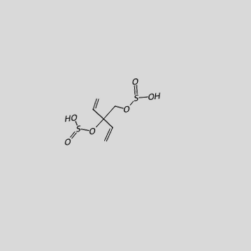 C=CC(C=C)(COS(=O)O)OS(=O)O